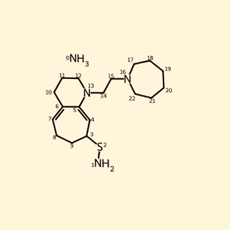 N.NSC1C=C2C(=CCC1)CCCN2CCN1CCCCCC1